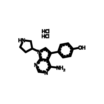 Cl.Cl.Nc1ncnc2c1c(-c1ccc(O)cc1)cn2C1CCNC1